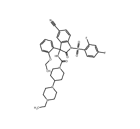 CCOc1ccccc1C1(NC(=O)N2CCC(N3CCN(CC)CC3)CC2)C(=O)N(S(=O)(=O)c2ccc(F)cc2F)c2ccc(C#N)cc21